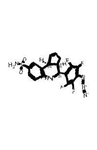 [N-]=[N+]=Nc1c(F)c(F)c([C@H]2Nc3ccc(S(N)(=O)=O)cc3[C@H]3C=CC[C@H]32)c(F)c1F